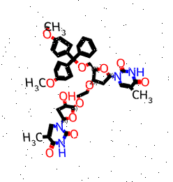 COc1ccc(C(OC[C@H]2O[C@@H](n3cc(C)c(=O)[nH]c3=O)C[C@@H]2OCCO[C@H]2O[C@@H](n3cc(C)c(=O)[nH]c3=O)CC2O)(c2ccccc2)c2ccc(OC)cc2)cc1